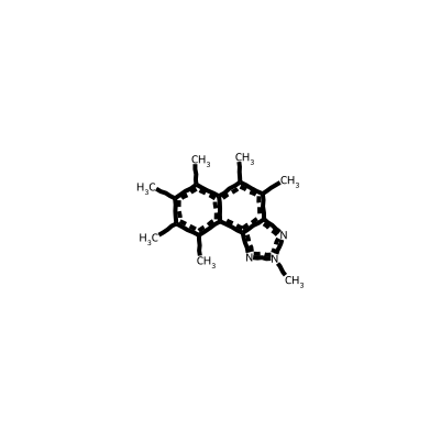 Cc1c(C)c(C)c2c(c1C)c(C)c(C)c1nn(C)nc12